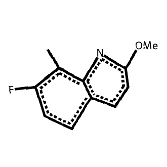 COc1ccc2ccc(F)c(C)c2n1